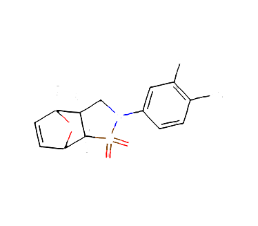 C[C@]12C=C[C@](C)(O1)[C@H]1CN(c3ccc(C#N)c(C(F)(F)F)c3)S(=O)(=O)[C@H]12